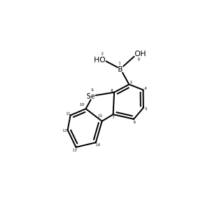 OB(O)c1cccc2c1[se]c1ccccc12